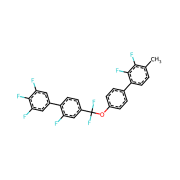 Cc1ccc(-c2ccc(OC(F)(F)c3ccc(-c4cc(F)c(F)c(F)c4)c(F)c3)cc2)c(F)c1F